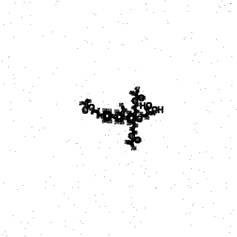 C=C(C)C(=O)OCCCc1ccc(-c2ccc(-c3cc(CCCOC(=O)C(=C)C)c(OCCC(CO)CO)c(CCCOC(=O)C(=C)C)c3)c(CC)c2)cc1